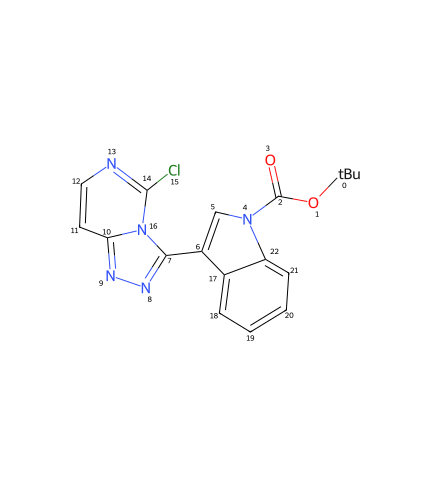 CC(C)(C)OC(=O)n1cc(-c2nnc3ccnc(Cl)n23)c2ccccc21